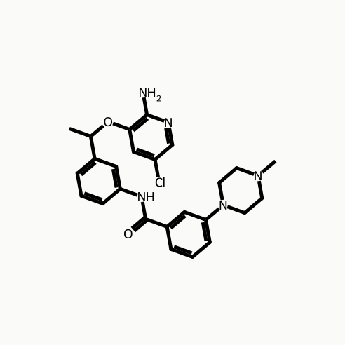 CC(Oc1cc(Cl)cnc1N)c1cccc(NC(=O)c2cccc(N3CCN(C)CC3)c2)c1